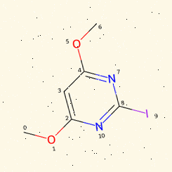 COc1cc(OC)nc(I)n1